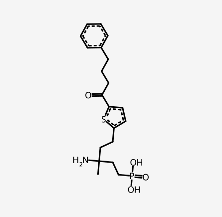 CC(N)(CCc1ccc(C(=O)CCCc2ccccc2)s1)CCP(=O)(O)O